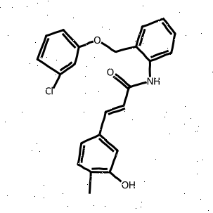 Cc1ccc(C=CC(=O)Nc2ccccc2COc2cccc(Cl)c2)cc1O